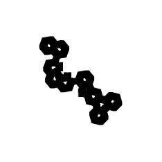 c1ccc2c(-c3ccc4ccc5ccc(-c6cccc7c6sc6cc8c9ccccc9c9ccccc9c8cc67)nc5c4n3)cccc2c1